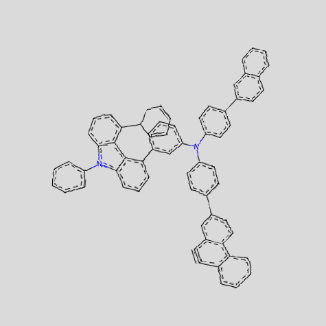 c1c2ccccc2c2ccc(-c3ccc(N(c4ccc(-c5ccc6ccccc6c5)cc4)c4cccc(-c5cccc6c5c5c(C7C=CC=CC7)cccc5n6-c5ccccc5)c4)cc3)cc2c#1